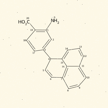 Nc1cc(C2C=Cc3cccc4cccc2c34)ccc1C(=O)O